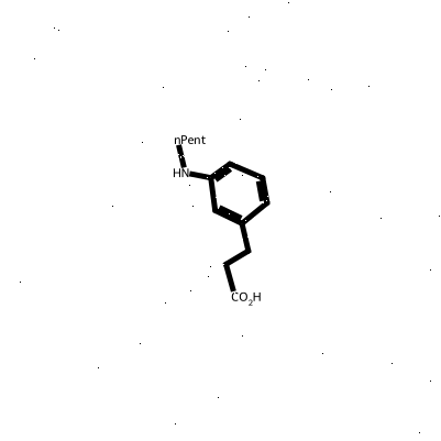 CCCCCNc1cccc(CCC(=O)O)c1